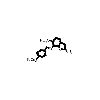 Cc1cc2ccc(C(=O)O)c(OCc3ccc(OC(F)(F)F)cc3)c2s1